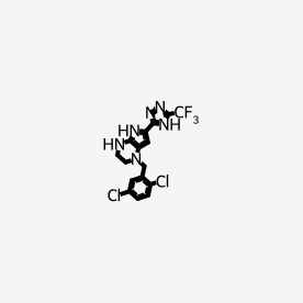 FC(F)(F)c1nnc(-c2cc3c([nH]2)NCCN3Cc2cc(Cl)ccc2Cl)[nH]1